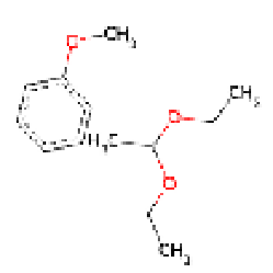 CCOC(C)OCC.COc1ccccc1